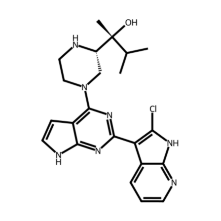 CC(C)[C@@](C)(O)[C@@H]1CN(c2nc(-c3c(Cl)[nH]c4ncccc34)nc3[nH]ccc23)CCN1